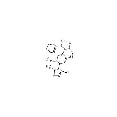 COc1cc2c(cc1-c1c(C)noc1C)OCC(=O)N2C(C)c1ccncc1